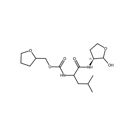 CC(C)CC(NC(=O)OCC1CCCO1)C(=O)N[C@H]1CCOC1O